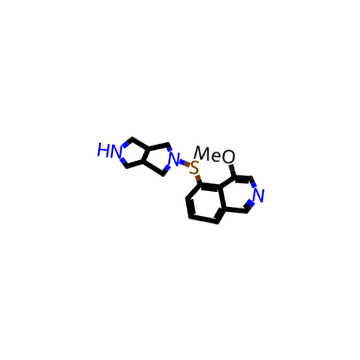 COc1cncc2cccc(SN3CC4CNCC4C3)c12